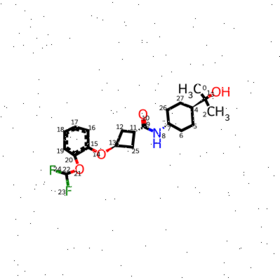 CC(C)(O)[C@H]1CC[C@H](NC(=O)[C@H]2C[C@H](Oc3ccccc3OC(F)F)C2)CC1